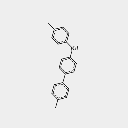 Cc1ccc(Nc2ccc(-c3ccc(C)cc3)cc2)cc1